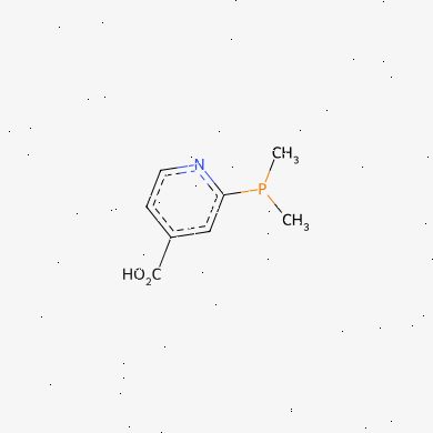 CP(C)c1cc(C(=O)O)ccn1